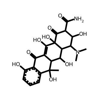 CN(C)C1C(O)C(C(N)=O)C(=O)C2(O)C(O)=C3C(=O)c4c(O)cccc4C(C)(O)C3C(O)C12